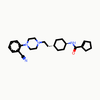 N#Cc1ccccc1N1CCN(CC[C@H]2CC[C@H](NC(=O)C3=CCCC3)CC2)CC1